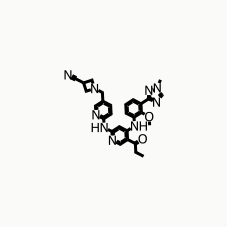 CCC(=O)c1cnc(Nc2ccc(CN3CC(C#N)C3)cn2)cc1Nc1cccc(-c2ncn(C)n2)c1OC